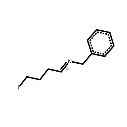 ICCC/C=N/Cc1ccccc1